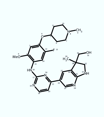 COc1cc(OC2CCN(C)CC2)c(F)cc1Nc1nccc(-c2cnc3c(c2)C(C)(CO)CN3)n1